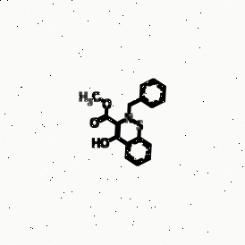 COC(=O)C1=C(O)c2ccccc2SN1Cc1ccccc1